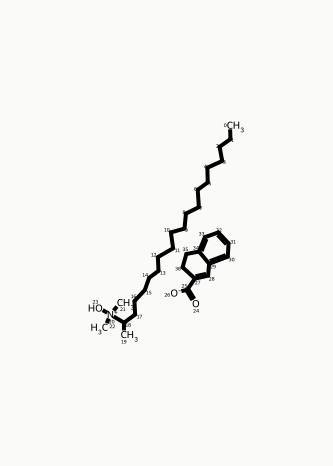 CCCCCCCCCCCCCCCCCCC(C)[N+](C)(C)O.O=C([O-])C1=Cc2ccccc2CC1